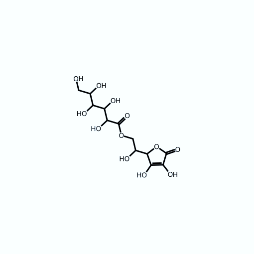 O=C1OC(C(O)COC(=O)C(O)C(O)C(O)C(O)CO)C(O)=C1O